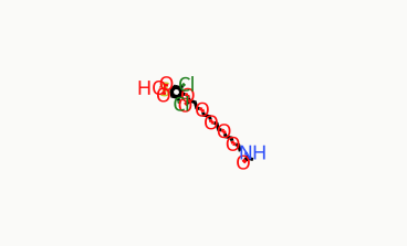 CC(=O)NCCOCCOCCOCCOCCC(=O)Oc1c(Cl)cc(S(=O)(=O)O)cc1Cl